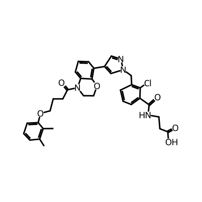 Cc1cccc(OCCCC(=O)N2CCOc3c(-c4cnn(Cc5cccc(C(=O)NCCC(=O)O)c5Cl)c4)cccc32)c1C